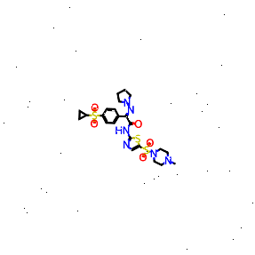 CN1CCN(S(=O)(=O)c2cnc(NC(=O)/C(=N/N3CCCC3)c3ccc(S(=O)(=O)C4CC4)cc3)s2)CC1